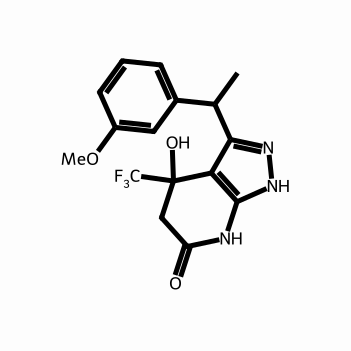 COc1cccc(C(C)c2n[nH]c3c2C(O)(C(F)(F)F)CC(=O)N3)c1